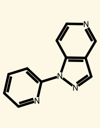 c1ccc(-n2ncc3cnccc32)nc1